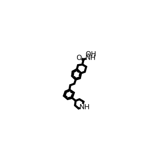 O=C(NO)C1CCc2cc(CCc3cccc(C4CCNCC4)c3)ccc2C1